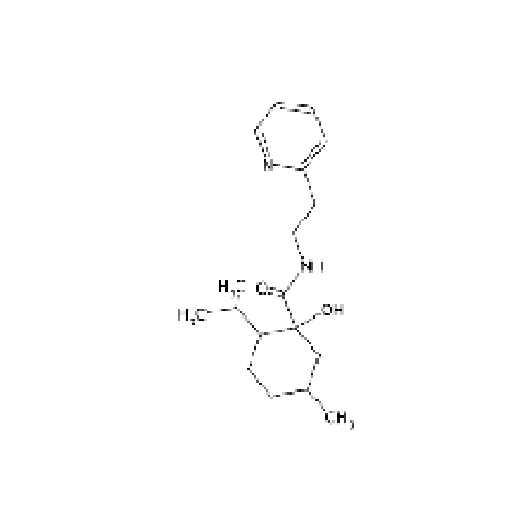 CC1CCC(C(C)C)C(O)(C(=O)NCCc2ccccn2)C1